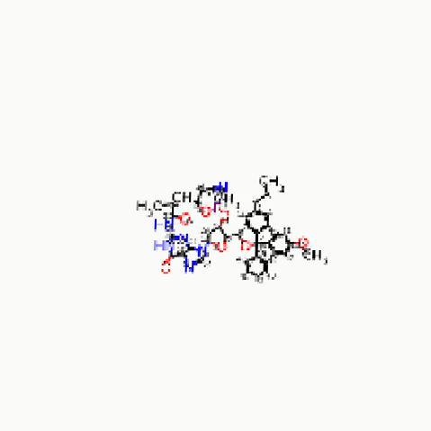 CCCc1ccc(C(OC[C@H]2O[C@@H](n3cnc4c(=O)[nH]c(NC(=O)C(C)C)nc43)C[C@H]2OP(C)OCCC#N)(c2ccccc2)c2ccc(OC)cc2)cc1